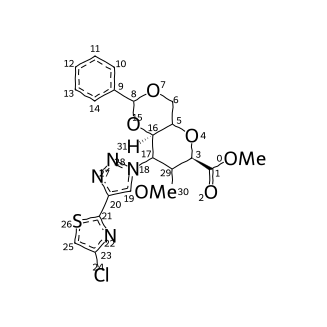 COC(=O)[C@@H]1OC2COC(c3ccccc3)O[C@@H]2C(n2cc(-c3nc(Cl)cs3)nn2)C1OC